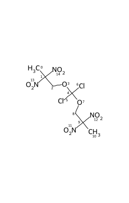 CC(COC(Cl)(Cl)OCC(C)([N+](=O)[O-])[N+](=O)[O-])([N+](=O)[O-])[N+](=O)[O-]